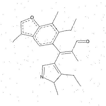 CCC1=C(/C(=C(\C)C=O)c2cc3c(C)coc3c(C)c2CC)C=NC1C